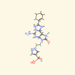 Cn1c(=O)n(CCn2cc(C(=O)O)cn2)c2nc(N)n3nc(C4=CC=CCC4)nc3c21